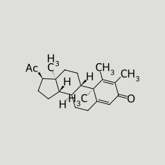 CC(=O)[C@@H]1CC[C@H]2[C@@H]3CCC4=CC(=O)C(C)=C(C)[C@]4(C)[C@H]3CC[C@]12C